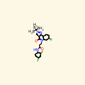 BC(B)(B)n1cc2c(=O)n(CCC(=O)Nc3ccc(F)cc3F)c3cc(F)ccc3c2n1